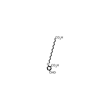 O=[C]c1ccc(OCCCCCCCCCCCCCCC(=O)O)c(C(=O)O)c1